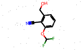 N#Cc1c(CO)cccc1OC(F)F